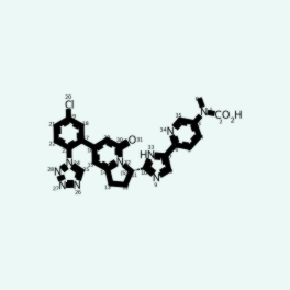 CN(C(=O)O)c1ccc(-c2cnc([C@@H]3CCc4cc(-c5cc(Cl)ccc5-n5cnnn5)cc(=O)n43)[nH]2)nc1